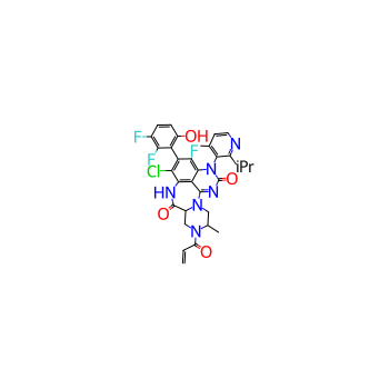 C=CC(=O)N1CC2C(=O)Nc3c(Cl)c(-c4c(O)ccc(F)c4F)c(F)c4c3c(nc(=O)n4-c3c(C)ccnc3C(C)C)N2CC1C